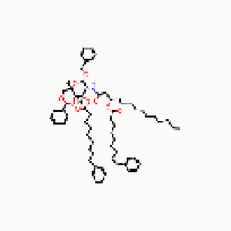 CCCCCCCCCCC[C@@H](CC(=O)N[C@H]1[C@@H](OCc2ccccc2)O[C@@H]2COC(c3ccccc3)O[C@H]2[C@@H]1OC(=O)CCCCCCCCc1ccccc1)OC(=O)CCCCCCCCc1ccccc1